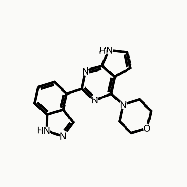 c1cc(-c2nc(N3CCOCC3)c3cc[nH]c3n2)c2cn[nH]c2c1